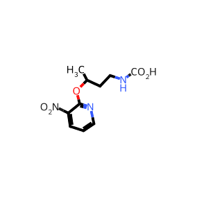 CC(CCNC(=O)O)Oc1ncccc1[N+](=O)[O-]